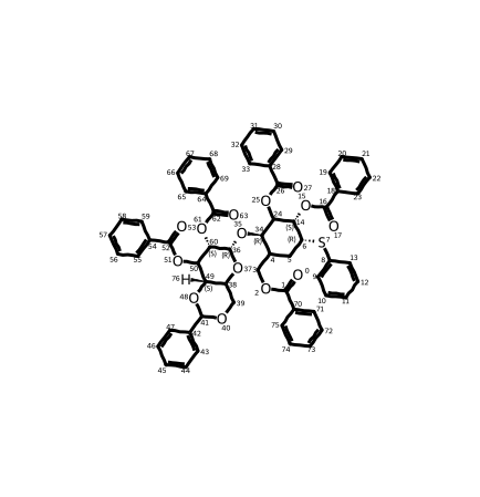 O=C(OCC1C[C@@H](Sc2ccccc2)[C@@H](OC(=O)c2ccccc2)C(OC(=O)c2ccccc2)[C@@H]1O[C@@H]1OC2COC(c3ccccc3)O[C@@H]2C(OC(=O)c2ccccc2)[C@@H]1OC(=O)c1ccccc1)c1ccccc1